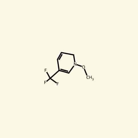 CON1C=C(C(F)(F)F)C=CC1